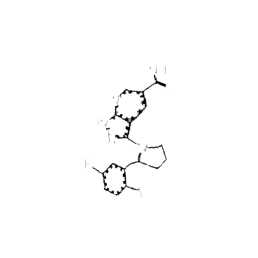 NC(=O)c1cnc2[nH]nc(N3CCCC3c3cc(F)ccc3F)c2c1